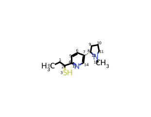 CCC(S)c1ccc([C@@H]2CCCN2C)cn1